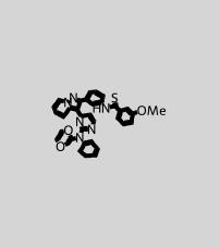 COc1cccc(C(=S)Nc2cccc(-c3nn4ccccc4c3-c3ccnc(N(C4=CC=CCC4)C4=COC=CO4)n3)c2)c1